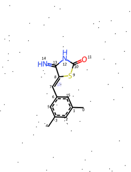 Cc1cc(C)cc(/C=C2\SC(=O)NC2=N)c1